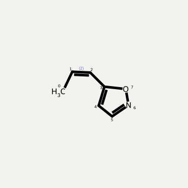 C/C=C\c1ccno1